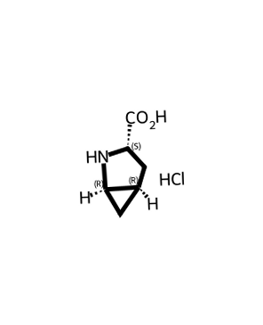 Cl.O=C(O)[C@@H]1C[C@H]2C[C@H]2N1